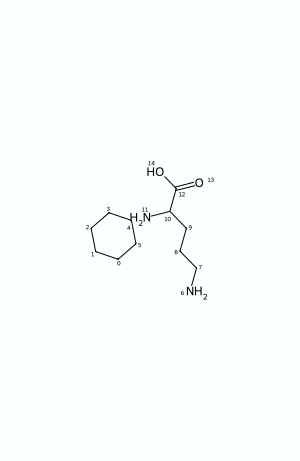 C1CCCCC1.NCCCC(N)C(=O)O